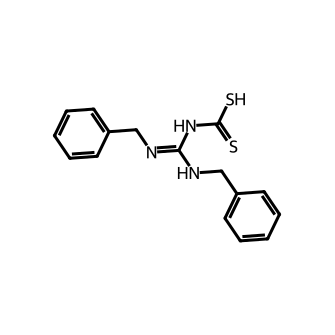 S=C(S)N/C(=N\Cc1ccccc1)NCc1ccccc1